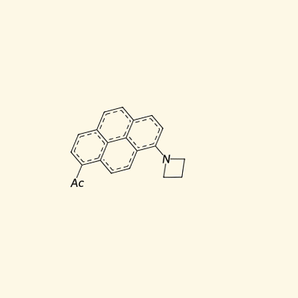 CC(=O)c1ccc2ccc3ccc(N4CCC4)c4ccc1c2c34